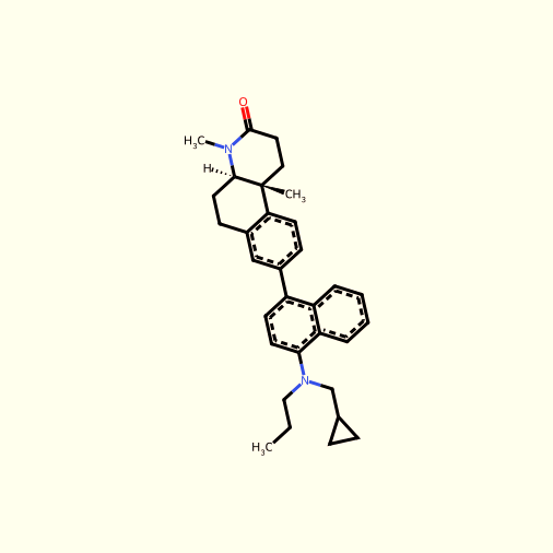 CCCN(CC1CC1)c1ccc(-c2ccc3c(c2)CC[C@H]2N(C)C(=O)CC[C@]32C)c2ccccc12